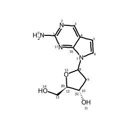 Nc1ncc2ccn(C3C[C@H](O)[C@@H](CO)O3)c2n1